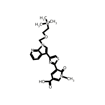 Cn1cc(C(=O)O)cc(-c2nc(-c3cn(COCC[Si](C)(C)C)c4ncccc34)cs2)c1=O